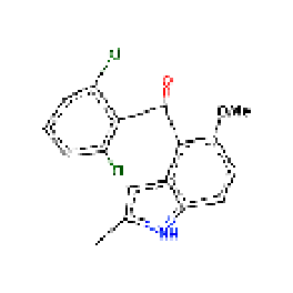 COc1ccc2[nH]c(C)[c]c2c1C(=O)c1c(Cl)cccc1Cl